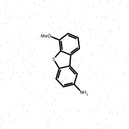 COc1cccc2c1sc1ccc(N)cc12